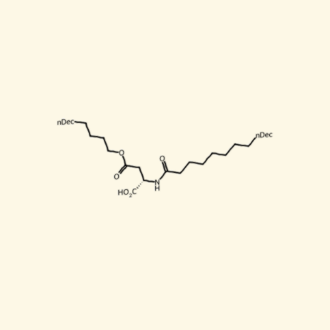 CCCCCCCCCCCCCCCCCC(=O)N[C@@H](CC(=O)OCCCCCCCCCCCCCC)C(=O)O